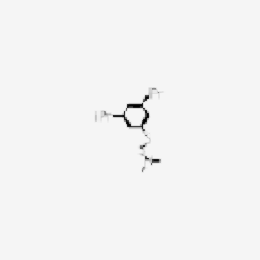 CC(C)c1cc(SSN(C)C)cc(C(C)C)c1